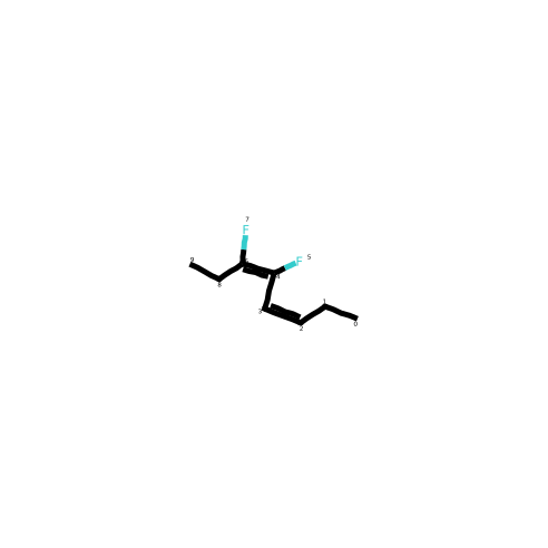 CC/C=C\C(F)=C(\F)CC